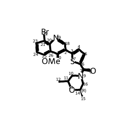 COc1c(-c2ccc(C(=O)N3CC(C)O[C@H](C)C3)s2)cnc2c(Br)cccc12